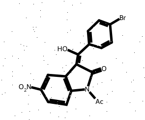 CC(=O)N1C(=O)/C(=C(/O)c2ccc(Br)cc2)c2cc([N+](=O)[O-])ccc21